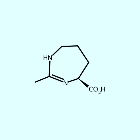 CC1=N[C@H](C(=O)O)CCCN1